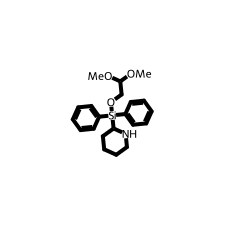 COC(CO[Si](c1ccccc1)(c1ccccc1)C1CCCCN1)OC